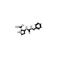 O=C(O)[C@H]1NCCC1NC(=S)NCc1ccccc1